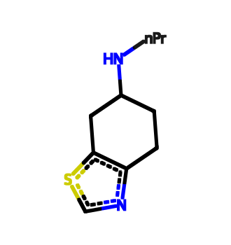 CCCNC1CCc2ncsc2C1